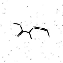 COC(=O)C(C)N=C=NI